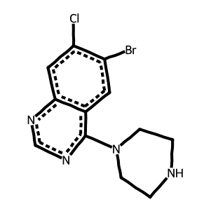 Clc1cc2ncnc(N3CCNCC3)c2cc1Br